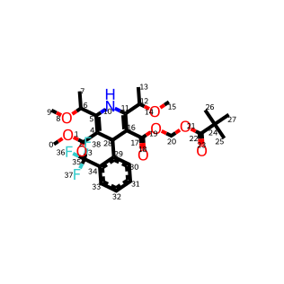 COC(=O)C1=C(C(C)OC)NC(C(C)OC)=C(C(=O)OCOC(=O)C(C)(C)C)C1c1ccccc1C(F)(F)F